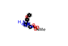 CNS(=O)(=O)OCC(=O)N1CCC[C@@H](n2nc(-c3ccc(Oc4ccccc4)cc3)c3c(N)ncnc32)C1